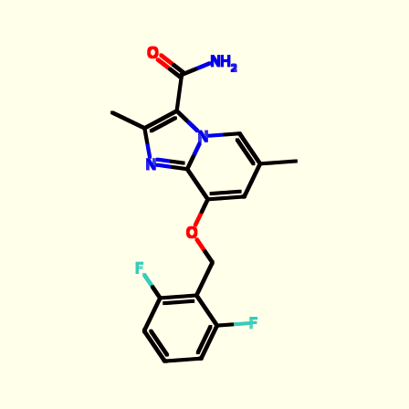 Cc1cc(OCc2c(F)cccc2F)c2nc(C)c(C(N)=O)n2c1